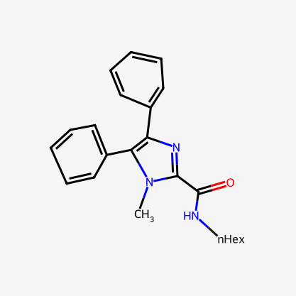 CCCCCCNC(=O)c1nc(-c2ccccc2)c(-c2ccccc2)n1C